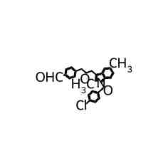 Cc1ccc2c(c1)c(CC(=O)Cc1ccc(C=O)cc1)c(C)n2C(=O)c1ccc(Cl)cc1